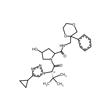 CC(C)(C)[C@@H](C(=O)N1CC(O)CC1C(=O)NCC1(c2ccccc2)COCCO1)n1cc(C2CC2)nn1